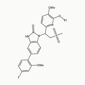 CCOc1nc(C(CS(C)(=O)=O)n2c(=O)[nH]c3cc(-c4ccc(F)cc4OC)ccc32)ccc1OC